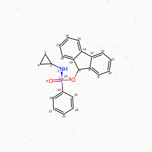 O=[P@](NC1CC1)(OC1c2ccccc2-c2ccccc21)c1ccccc1